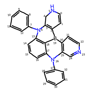 C1=CC2=C(CN1)N(c1ccccc1)c1cccc3c1B2c1ccncc1N3c1ccccc1